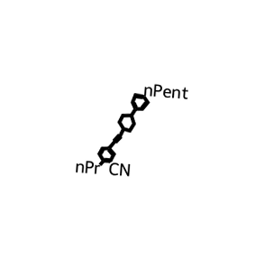 CCCCCc1ccc(C2CCC(C#Cc3ccc(CCC)c(C#N)c3)CC2)cc1